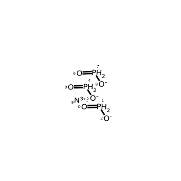 O=[PH2][O-].O=[PH2][O-].O=[PH2][O-].[N+3]